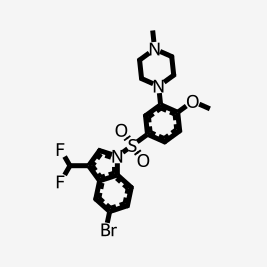 COc1ccc(S(=O)(=O)n2cc(C(F)F)c3cc(Br)ccc32)cc1N1CCN(C)CC1